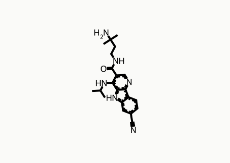 CC(C)Nc1c(C(=O)NCCC(C)(C)N)cnc2c1[nH]c1cc(C#N)ccc12